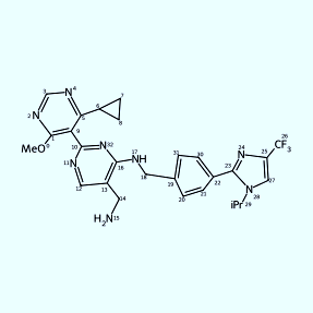 COc1ncnc(C2CC2)c1-c1ncc(CN)c(NCc2ccc(-c3nc(C(F)(F)F)cn3C(C)C)cc2)n1